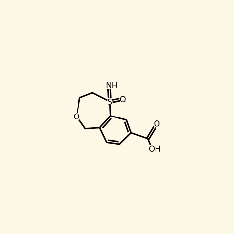 N=S1(=O)CCOCc2ccc(C(=O)O)cc21